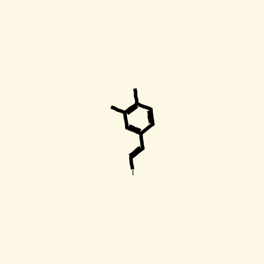 Cc1ccc(/C=C/I)cc1C